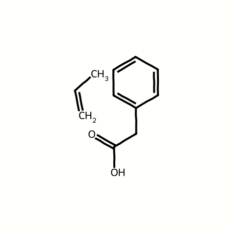 C=CC.O=C(O)Cc1ccccc1